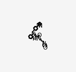 O=C(NCCCN1CCOCC1)C1CN(Cc2ccc(-n3cccn3)cc2)c2ccccc2O1